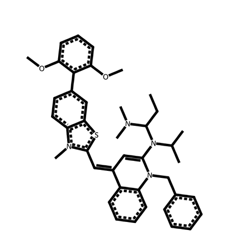 CCC(N(C)C)N(C1=CC(=Cc2sc3cc(-c4c(OC)cccc4OC)ccc3[n+]2C)c2ccccc2N1Cc1ccccc1)C(C)C